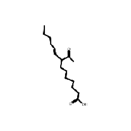 CCCC/C=C/C(CCCCCCC(=O)O)C(C)=O